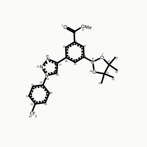 COC(=O)c1cc(B2OC(C)(C)C(C)(C)O2)cc(-c2cn(-c3ccc(C(F)(F)F)cc3)nn2)c1